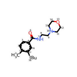 Cc1ccc(C(=O)NCCN2CCOCC2)cc1C(C)(C)C